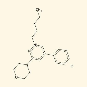 CCCCC[n+]1cc(-c2ccccc2)cc(N2CCOCC2)n1.[I-]